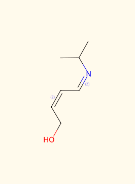 CC(C)/N=C\C=C/CO